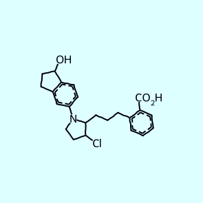 O=C(O)c1ccccc1CCCC1C(Cl)CCN1c1ccc2c(c1)CCC2O